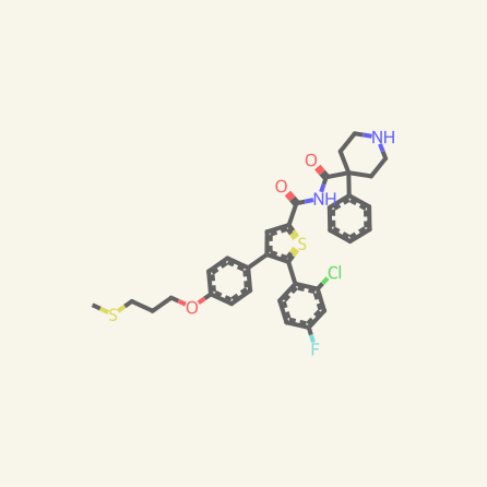 CSCCCOc1ccc(-c2cc(C(=O)NC(=O)C3(c4ccccc4)CCNCC3)sc2-c2ccc(F)cc2Cl)cc1